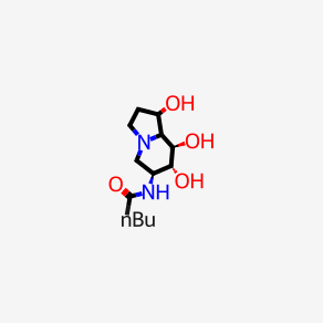 CCCCC(=O)N[C@H]1CN2CCC(O)C2[C@@H](O)[C@@H]1O